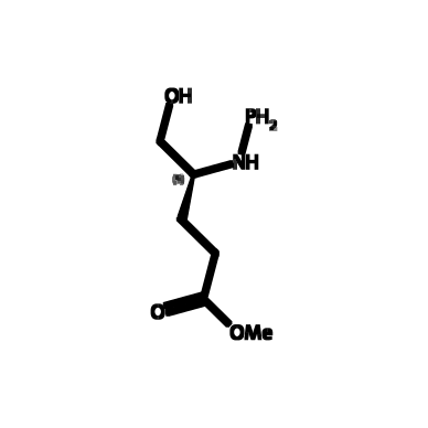 COC(=O)CC[C@@H](CO)NP